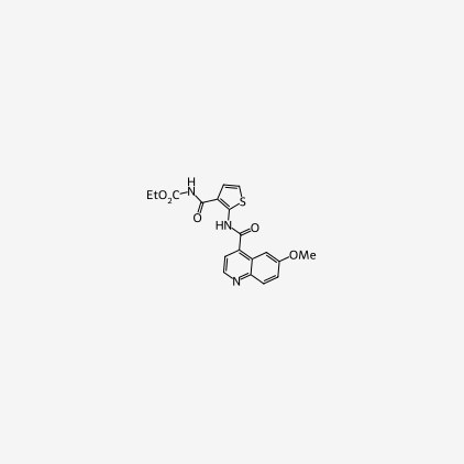 CCOC(=O)NC(=O)c1ccsc1NC(=O)c1ccnc2ccc(OC)cc12